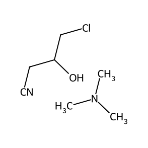 CN(C)C.N#CCC(O)CCl